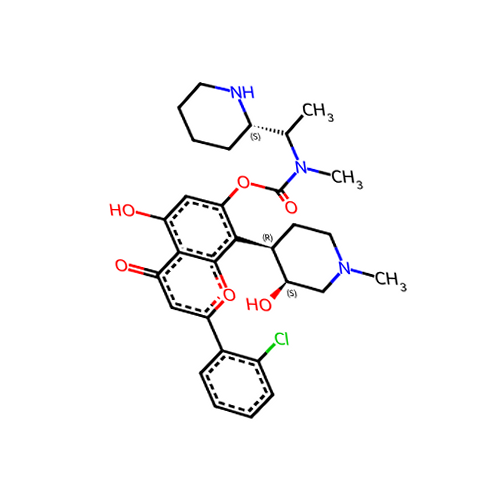 CC([C@@H]1CCCCN1)N(C)C(=O)Oc1cc(O)c2c(=O)cc(-c3ccccc3Cl)oc2c1[C@H]1CCN(C)C[C@H]1O